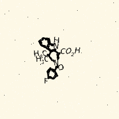 CC1(C)CN(C(=O)c2ccc(F)cc2)C=C(C(=O)O)c2[nH]c3ccccc3c21